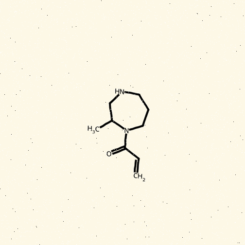 C=CC(=O)N1CCCNCC1C